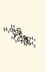 CNC(=O)c1cccc2nc([C@H](C)Nc3ncnc(N)c3S(C)(=O)=O)n(C3CC3)c12